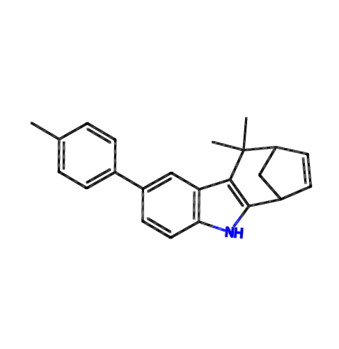 Cc1ccc(-c2ccc3[nH]c4c(c3c2)C(C)(C)C2C=CC4C2)cc1